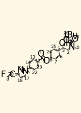 CN(CC(O)c1ccc(OC(=O)c2ccc(-n3ccc(C(F)(F)F)n3)cc2)cc1)C(=O)OC(C)(C)C